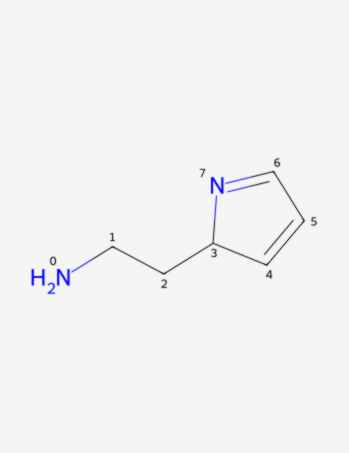 NCCC1C=CC=N1